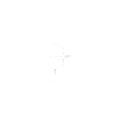 CCC(OC)P(=S)(S)NC(=O)OC